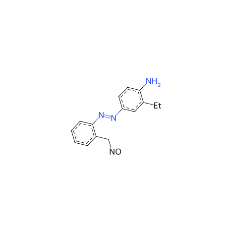 CCc1cc(/N=N/c2ccccc2CN=O)ccc1N